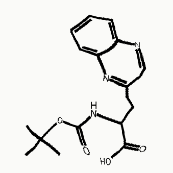 CC(C)(C)OC(=O)NC(Cc1cnc2ccccc2n1)C(=O)O